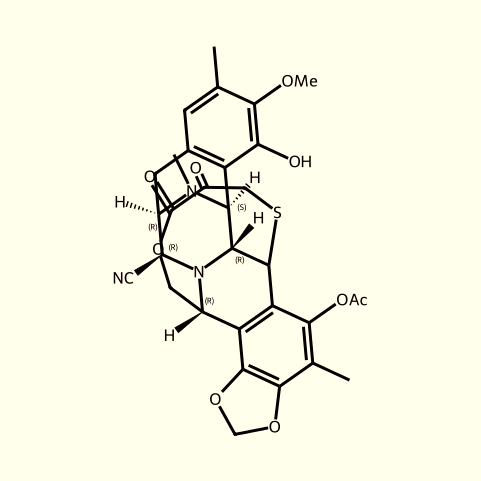 COc1c(C)cc2c(c1O)[C@H]1[C@@H]3C4SCC(=O)C(=O)OC[C@@H](c5c6c(c(C)c(OC(C)=O)c54)OCO6)N3[C@@H](C#N)[C@@H](C2)N1C